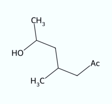 CC(=O)CC(C)CC(C)O